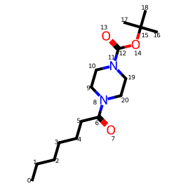 CCCCCCC(=O)N1CCN(C(=O)OC(C)(C)C)CC1